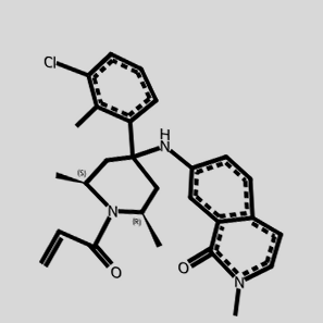 C=CC(=O)N1[C@H](C)CC(Nc2ccc3ccn(C)c(=O)c3c2)(c2cccc(Cl)c2C)C[C@@H]1C